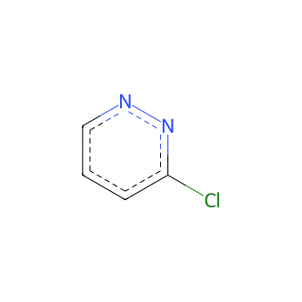 Clc1cccnn1